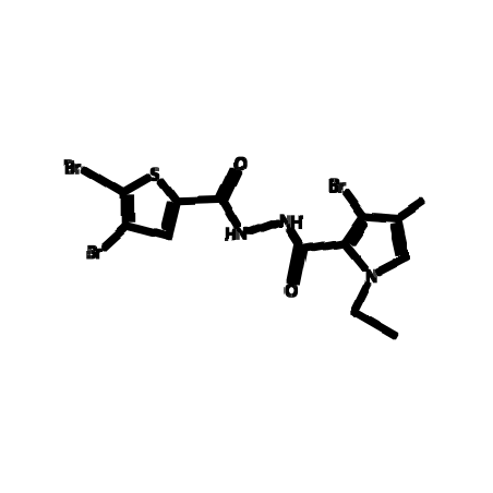 CCn1cc(C)c(Br)c1C(=O)NNC(=O)c1cc(Br)c(Br)s1